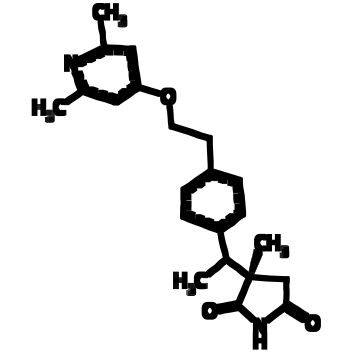 Cc1cc(OCCc2ccc(C(C)[C@]3(C)CC(=O)NC3=O)cc2)cc(C)n1